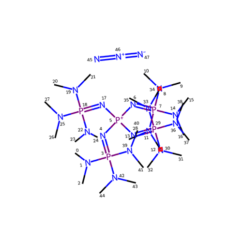 CN(C)P(=N[P+](N=P(N(C)C)(N(C)C)N(C)C)(N=P(N(C)C)(N(C)C)N(C)C)N=P(N(C)C)(N(C)C)N(C)C)(N(C)C)N(C)C.[N-]=[N+]=[N-]